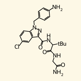 CC(C)(C)C(NC(=O)c1nn(Cc2ccc(N)cc2)c2ccc(Cl)cc12)C(=O)NCC(N)=O